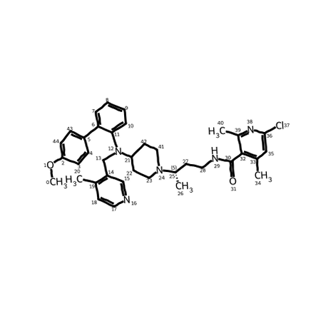 COc1ccc(-c2ccccc2N(Cc2cnccc2C)C2CCN([C@@H](C)CCNC(=O)c3c(C)cc(Cl)nc3C)CC2)cc1